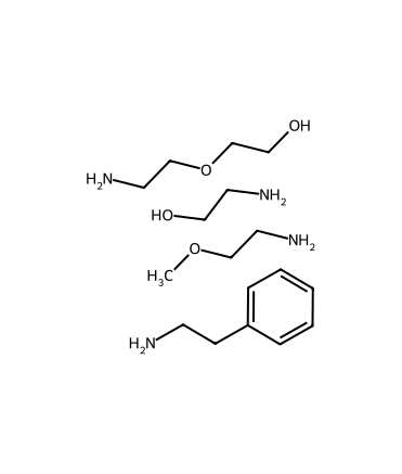 COCCN.NCCO.NCCOCCO.NCCc1ccccc1